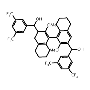 COC1=C(c2c3c(cc(C(O)c4cc(C(F)(F)F)cc(C(F)(F)F)c4)c2OC)CCCC3)C2=C(CCCC2)CC1C(O)c1cc(C(F)(F)F)cc(C(F)(F)F)c1